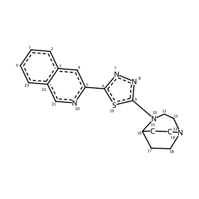 c1ccc2cc(-c3nnc(N4CCN5CCC4CC5)s3)ncc2c1